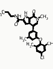 CCCNC(=O)c1cc2c(-c3cc(C)cc(Oc4c(C)cc(Cl)cc4C)c3)cn(C)c(=O)c2[nH]1